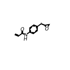 C=CC(=O)Nc1ccc([CH]C2CO2)cc1